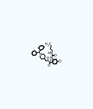 CCCCNC(=O)Nc1cc(Cl)ccc1C(=O)NCC1CCN(C(c2ccccc2)c2ccccc2)CC1